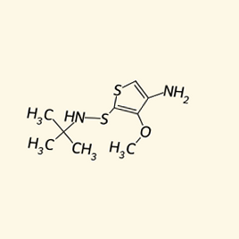 COc1c(N)csc1SNC(C)(C)C